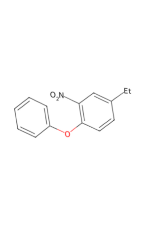 CCc1ccc(Oc2ccccc2)c([N+](=O)[O-])c1